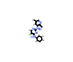 Cc1cnc2cnn(-c3ncc(F)c(NC4CCCCC4)n3)c2c1